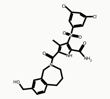 Cc1c(C(=O)N2CCCc3ccc(CO)cc3C2)[nH]c(C(N)=O)c1S(=O)(=O)c1cc(Cl)cc(Cl)c1